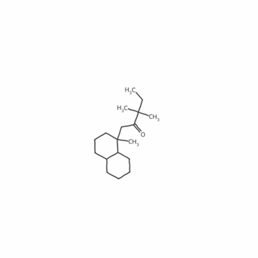 CCC(C)(C)C(=O)CC1(C)CCCC2CCCCC21